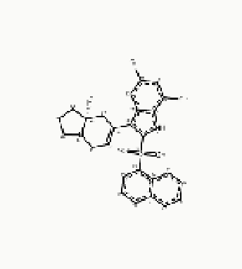 O=S(=O)(c1[nH]c2c(F)cc(F)cc2c1C1=CCN2CCC[C@H]2C1)c1cccc2ccccc12